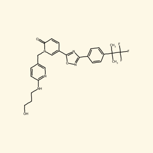 CC(C)(c1ccc(-c2noc(-c3ccc(=O)n(Cc4ccc(NCCCO)nc4)c3)n2)cc1)C(F)(F)F